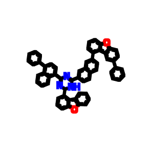 c1ccc(-c2ccc3oc4cccc(-c5ccc6ccc(C7=NC(c8ccc(-c9ccccc9)c9ccccc89)=NC(c8cccc9oc%10ccccc%10c89)N7)cc6c5)c4c3c2)cc1